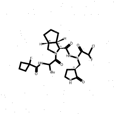 CCC(C)C(NC(=O)C1(F)CCC1)C(=O)N1C[C@@H]2CCC[C@@H]2[C@H]1C(=O)NN(C[C@@H]1CCNC1=O)C(=O)C(F)Cl